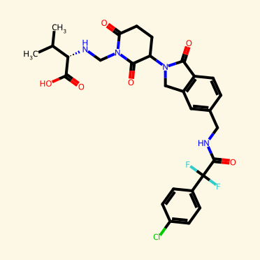 CC(C)[C@H](NCN1C(=O)CCC(N2Cc3cc(CNC(=O)C(F)(F)c4ccc(Cl)cc4)ccc3C2=O)C1=O)C(=O)O